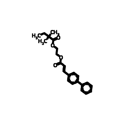 CCC(C)(C)C(=O)OCCOC(=O)/C=C/c1ccc(-c2ccccc2)cc1